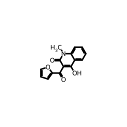 Cn1c(=O)c(C(=O)c2ccco2)c(O)c2ccccc21